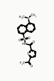 CN(C)c1cccc2c(S(=O)(=O)NC(=O)c3ccc(C(=O)C(F)(F)F)s3)cccc12